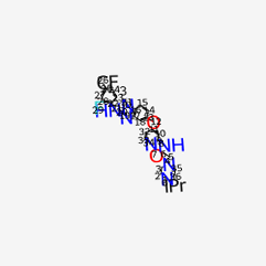 CC(C)N1CCN(CC(=O)Nc2cc(Oc3ccc4c(c3)nc(Nc3ccc(C(F)(F)F)cc3F)n4C)ccn2)CC1